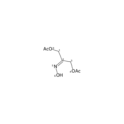 CC(=O)OCC(COC(C)=O)=NO